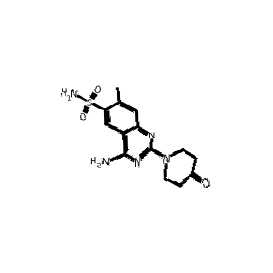 Cc1cc2nc(N3CCC(=O)CC3)nc(N)c2cc1S(N)(=O)=O